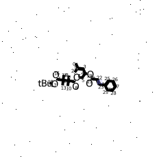 CC(C)=CC(COC(=O)C(C)(C)C(C)(C)C(=O)OC(C)(C)C)OC(=O)/C=C/c1ccccc1